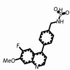 COc1cc2nccc(-c3ccc(CN[SH](=O)=O)cc3)c2cc1F